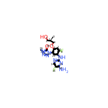 C[C@H](CO)COc1cc(F)c(Nc2ncc(F)c(N)n2)cc1-n1nnn(C)c1=O